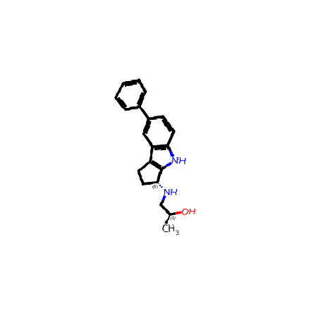 C[C@H](O)CN[C@@H]1CCc2c1[nH]c1ccc(-c3ccccc3)cc21